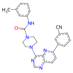 Cc1cccc(NC(=O)N2CCN(c3ncnc4ccc(-c5cccc(C#N)c5)nc34)CC2)c1